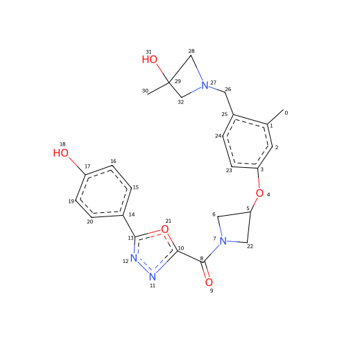 Cc1cc(OC2CN(C(=O)c3nnc(-c4ccc(O)cc4)o3)C2)ccc1CN1CC(C)(O)C1